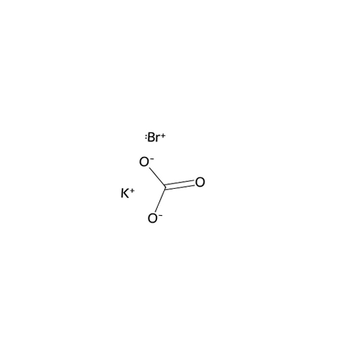 O=C([O-])[O-].[Br+].[K+]